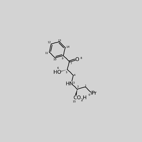 CC(C)C[C@H](NC[C@H](O)C(=O)c1ccccc1)C(=O)O